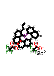 C=CCc1ccc2ccccc2c1P(c1cccc2ccccc12)c1cccc2ccccc12.O=C([O-])C(F)(F)F.O=C([O-])C(F)(F)F.[Pd+2]